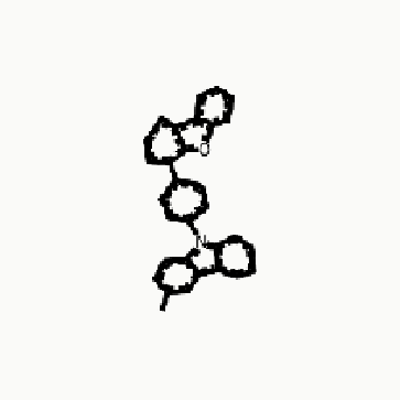 Cc1ccc2c(c1)c1ccccc1n2-c1ccc(-c2cccc3c2oc2ccccc23)cc1